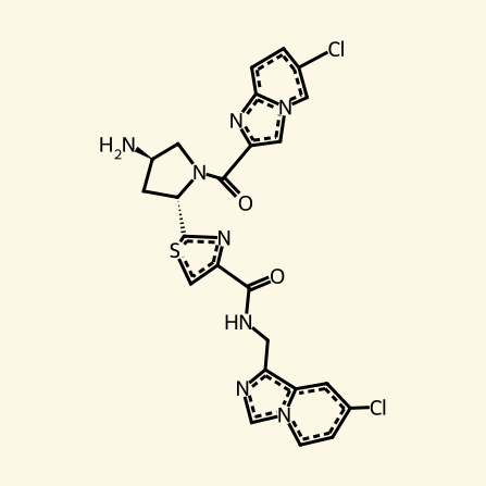 N[C@@H]1C[C@@H](c2nc(C(=O)NCc3ncn4ccc(Cl)cc34)cs2)N(C(=O)c2cn3cc(Cl)ccc3n2)C1